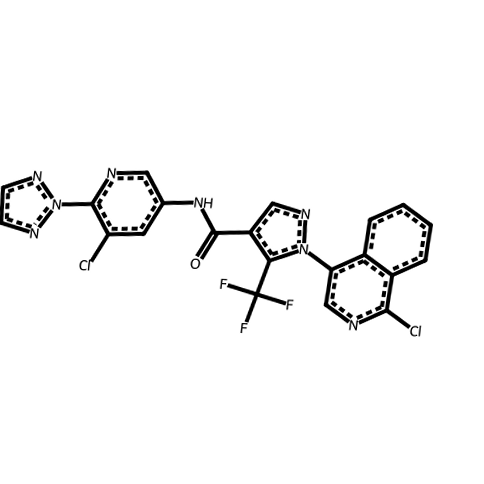 O=C(Nc1cnc(-n2nccn2)c(Cl)c1)c1cnn(-c2cnc(Cl)c3ccccc23)c1C(F)(F)F